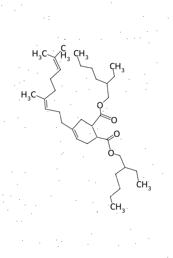 CCCCC(CC)COC(=O)C1CC=C(CCC=C(C)CCC=C(C)C)CC1C(=O)OCC(CC)CCCC